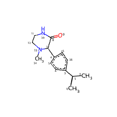 CC(C)c1ccc(C2C(=O)NCCN2C)cc1